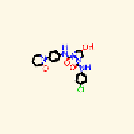 O=C1CCCCN1c1ccc(NC(=O)N2CC(O)CN2C(=O)Nc2ccc(Cl)cc2)cc1